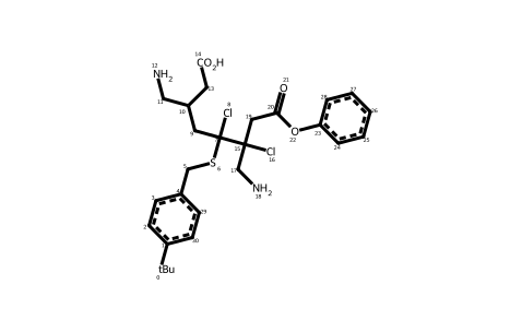 CC(C)(C)c1ccc(CSC(Cl)(CC(CN)CC(=O)O)C(Cl)(CN)CC(=O)Oc2ccccc2)cc1